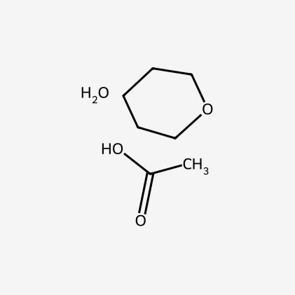 C1CCOCC1.CC(=O)O.O